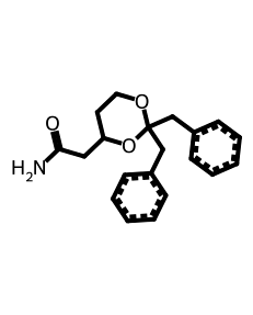 NC(=O)CC1CCOC(Cc2ccccc2)(Cc2ccccc2)O1